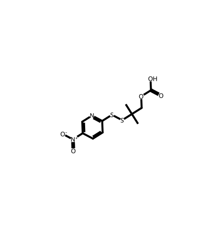 CC(C)(COC(=O)O)SSc1ccc([N+](=O)[O-])cn1